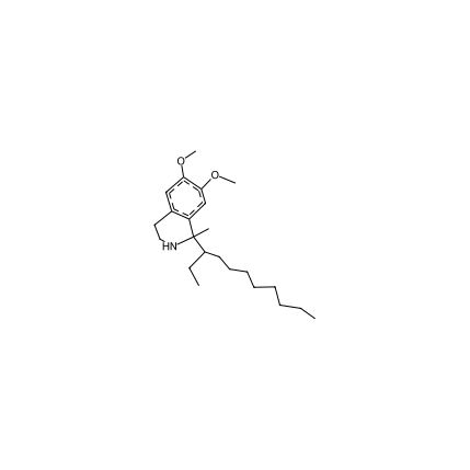 CCCCCCCCC(CC)C1(C)NCCc2cc(OC)c(OC)cc21